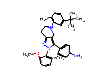 COc1cccc(C)c1-n1nc2c(c1-c1ccc(N)cc1)CN(c1cc(C(C)(C)C)ccc1C)CC2